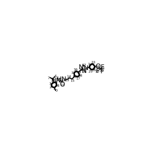 Cc1ccc(C(C)C)c(NC(=O)NCCCc2ccc(-c3ncn(-c4ccc(OC(F)(F)F)cc4)n3)cc2)c1